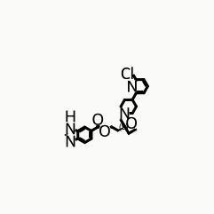 O=C(OCC[C@]1(CN2CCC(c3cccc(Cl)n3)CC2)CCO1)c1ccc2nc[nH]c2c1